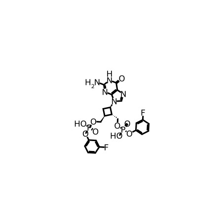 Nc1nc2c(ncn2[C@@H]2C[C@H](COP(=O)(O)Oc3cccc(F)c3)[C@H]2COP(=O)(O)Oc2cccc(F)c2)c(=O)[nH]1